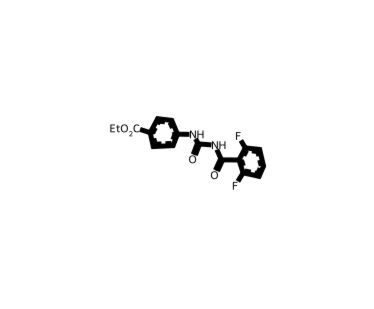 CCOC(=O)c1ccc(NC(=O)NC(=O)c2c(F)cccc2F)cc1